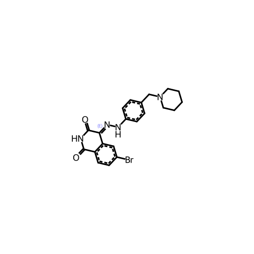 O=C1NC(=O)c2ccc(Br)cc2/C1=N\Nc1ccc(CN2CCCCC2)cc1